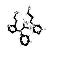 CCCc1sccc1B(c1ccccc1)C(C)C.ClC=CCn1ccnc1